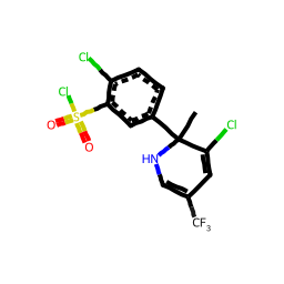 CC1(c2ccc(Cl)c(S(=O)(=O)Cl)c2)NC=C(C(F)(F)F)C=C1Cl